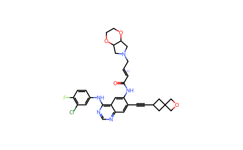 O=C(/C=C/CN1CC2OCCOC2C1)Nc1cc2c(Nc3ccc(F)c(Cl)c3)ncnc2cc1C#CC1CC2(COC2)C1